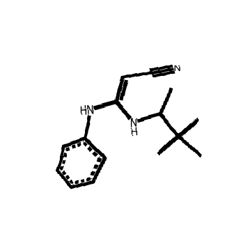 CC(N/C(=C\C#N)Nc1ccccc1)C(C)(C)C